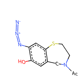 CC(=O)N1CCSc2cc(N=[N+]=[N-])c(O)cc2C1